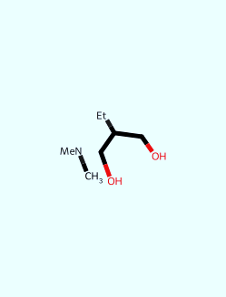 CCC(CO)CO.CNC